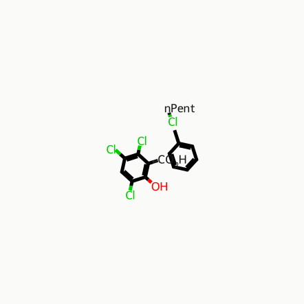 CCCCCCl.Cc1ccccc1.O=C(O)c1c(O)c(Cl)cc(Cl)c1Cl